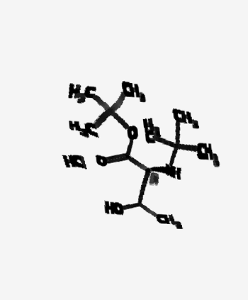 CC(O)[C@H](NC(C)(C)C)C(=O)OC(C)(C)C.Cl